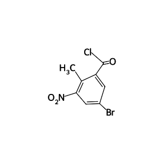 Cc1c(C(=O)Cl)cc(Br)cc1[N+](=O)[O-]